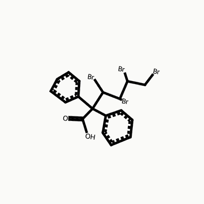 O=C(O)C(c1ccccc1)(c1ccccc1)C(Br)C(Br)C(Br)CBr